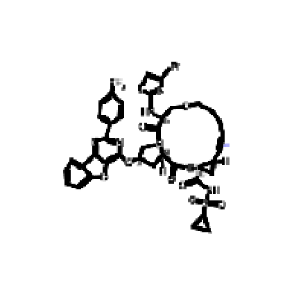 CC(C)c1csc(N[C@H]2CCCCC/C=C\[C@@H]3C[C@@]3(C(=O)NS(=O)(=O)C3CC3)NC(=O)[C@@H]3C[C@@H](Oc4nc(-c5ccc(C(F)(F)F)cc5)nc5c4oc4ccccc45)CN3C2=O)n1